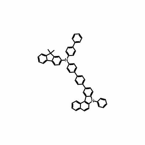 CC1(C)c2ccccc2-c2ccc(N(c3ccc(-c4ccccc4)cc3)c3ccc(-c4ccc(-c5ccc6c(c5)c5c7ccccc7ccc5n6-c5ccccc5)cc4)cc3)cc21